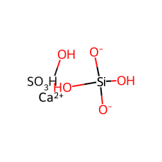 O=S(=O)(O)O.[Ca+2].[O-][Si]([O-])(O)O